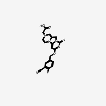 N#Cc1cc(COc2cc3n(c(=O)n2)CC2CN(CC(=O)O)CCN32)ccc1F